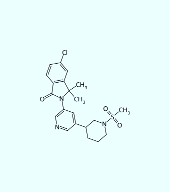 CC1(C)c2cc(Cl)ccc2C(=O)N1c1cncc(C2CCCN(S(C)(=O)=O)C2)c1